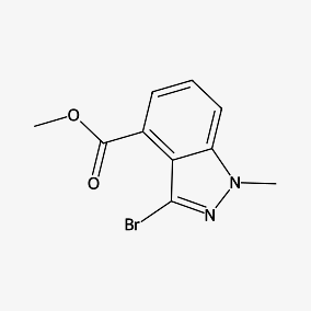 COC(=O)c1cccc2c1c(Br)nn2C